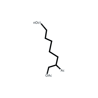 CCCCCCCCCCCCCC(COC(C)=O)C(C)=O